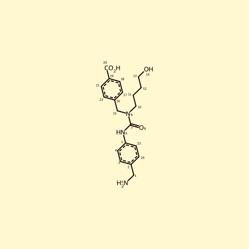 NCc1ccc(NC(=O)N(CCCCO)Cc2ccc(C(=O)O)cc2)cc1